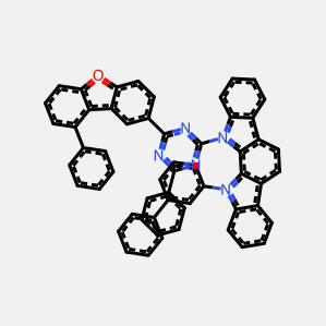 c1ccc(-c2cccc(-n3c4ccccc4c4ccc5c6ccccc6n(-c6nc(-c7ccccc7)nc(-c7ccc8oc9cccc(-c%10ccccc%10)c9c8c7)n6)c5c43)c2)cc1